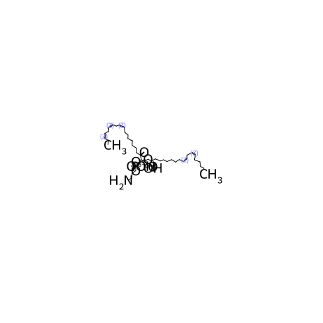 CC/C=C\C/C=C\C/C=C\CCCCCCCC(=O)C(OP(=O)(O)OCCN)[C@H](CO)OC(=O)CCCCCCC/C=C\C/C=C\CCCCC